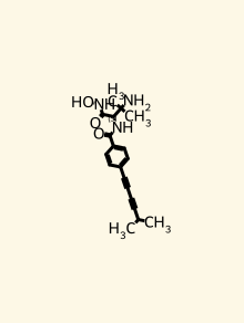 CC(C)C#CC#Cc1ccc(C(=O)N[C@H](C(=O)NO)C(C)(C)N)cc1